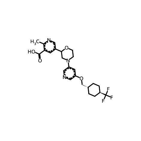 Cc1ncc(C2CN(c3cncc(OC[C@H]4CC[C@H](C(F)(F)F)CC4)c3)CCO2)cc1C(=O)O